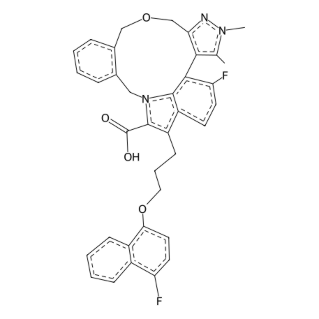 Cc1c2c(nn1C)COCc1ccccc1Cn1c(C(=O)O)c(CCCOc3ccc(F)c4ccccc34)c3ccc(F)c-2c31